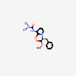 CCN(CC)C(=O)Nc1cccn([C@@H](Cc2ccccc2)C(=O)OC(C)(C)C)c1=O